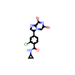 O=C(NC1CC1)c1ccc(-c2cnc3c(Br)nc(Br)cn23)cc1Cl